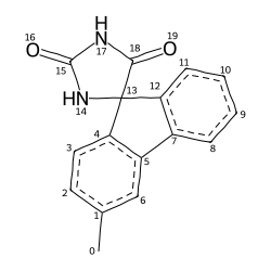 Cc1ccc2c(c1)-c1ccccc1C21NC(=O)NC1=O